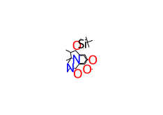 COc1c2n3c(cc1=O)C(O[Si](C)(C)C(C)(C)C)C(C)C3(C)CN(C)C2=O